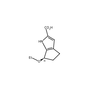 CCO[C@@H]1CCc2cc(C(=O)O)[nH]c21